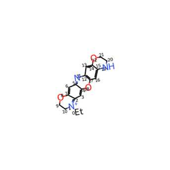 CC[N+]1=c2cc3c(cc2OCC1)=Nc1cc2c(cc1O3)NCCO2